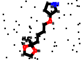 CC1(CCCCOC2CCNC2)OCCO1